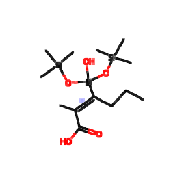 CCC/C(=C(/C)C(=O)O)[Si](O)(O[Si](C)(C)C)O[Si](C)(C)C